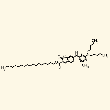 CCCCCCCCCCCCCCCCCOC(=O)c1cc2ccc(Nc3nc(C)nc(N(CCCCC)CCCCC)n3)cc2oc1=O